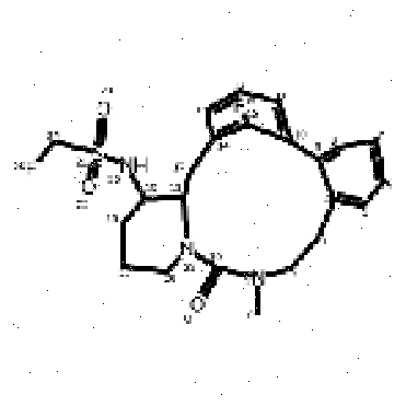 CN1CCc2ccccc2-c2cccc(c2F)CC2C(NS(=O)(=O)CF)CCCN2C1=O